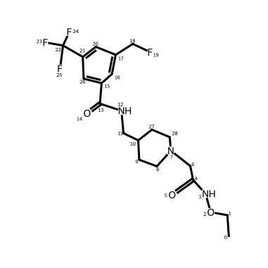 CCONC(=O)CN1CCC(CNC(=O)c2cc(CF)cc(C(F)(F)F)c2)CC1